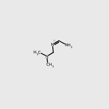 CN(C)C/N=C\N